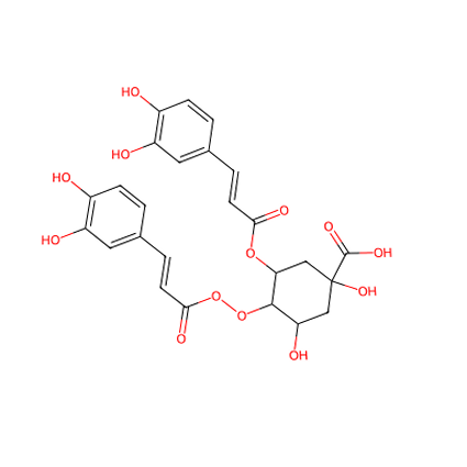 O=C(/C=C/c1ccc(O)c(O)c1)OOC1C(O)CC(O)(C(=O)O)CC1OC(=O)/C=C/c1ccc(O)c(O)c1